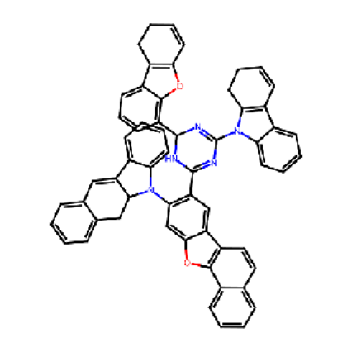 C1=Cc2oc3c(C4N=C(n5c6c(c7ccccc75)C=CCC6)N=C(c5cc6c(cc5N5c7ccccc7C7=Cc8ccccc8CC75)oc5c7ccccc7ccc65)N4)cccc3c2CC1